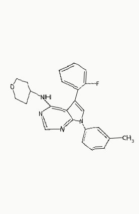 Cc1cccc(-n2cc(-c3ccccc3F)c3c(NC4CCOCC4)ncnc32)c1